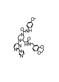 COc1ccc(NC(=O)N2CCN(c3ccnc(-n4ccnc4)n3)C(CC(=O)NCc3ccc4c(c3)OCCO4)C2)cc1